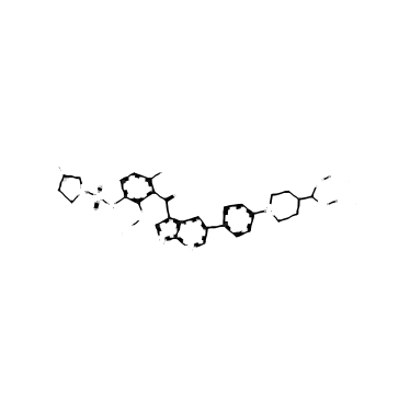 COc1c(NS(=O)(=O)N2CC[C@@H](F)C2)ccc(F)c1C(=O)c1c[nH]c2ncc(-c3ccc(N4CCC(C(OC)OC)CC4)cc3)cc12